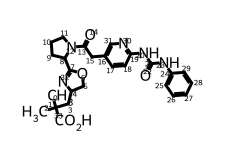 CC(C)(CC1COC(C2CCCN2C(=O)Cc2ccc(NC(=O)Nc3ccccc3)nc2)=N1)C(=O)O